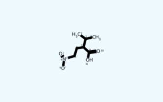 CC(C)C(CC[N+](=O)[O-])C(=O)O